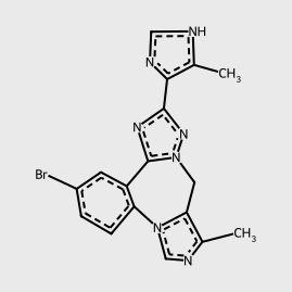 Cc1ncn2c1Cn1nc(-c3nc[nH]c3C)nc1-c1cc(Br)ccc1-2